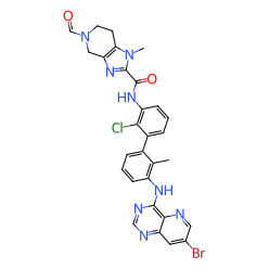 Cc1c(Nc2ncnc3cc(Br)cnc23)cccc1-c1cccc(NC(=O)c2nc3c(n2C)CCN(C=O)C3)c1Cl